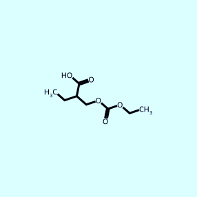 CCOC(=O)OCC(CC)C(=O)O